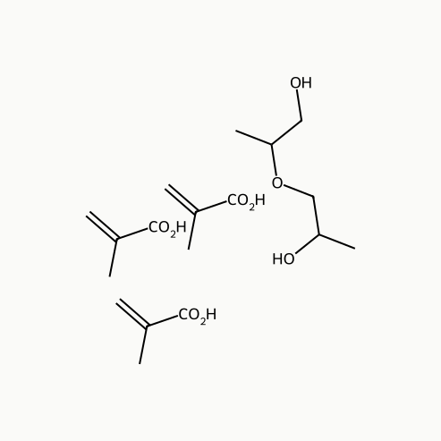 C=C(C)C(=O)O.C=C(C)C(=O)O.C=C(C)C(=O)O.CC(O)COC(C)CO